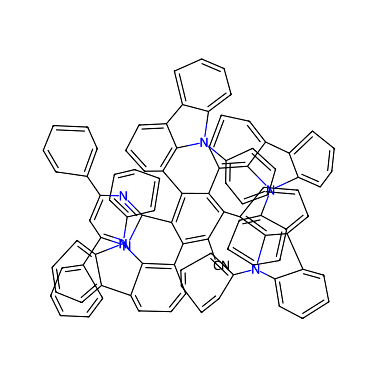 N#Cc1c(-c2cccc3c4ccccc4n(-c4ccccc4)c23)c(-c2nc(-c3ccccc3)cc(-c3ccccc3)n2)c(-c2cccc3c4ccccc4n(-c4ccccc4)c23)c(-c2cccc3c4ccccc4n(-c4ccccc4)c23)c1-c1cccc2c3ccccc3n(-c3ccccc3)c12